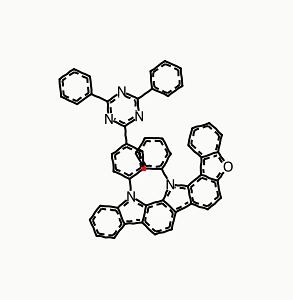 c1ccc(-c2nc(-c3ccccc3)nc(-c3ccc(-n4c5ccccc5c5ccc6c7ccc8oc9ccccc9c8c7n(-c7ccccc7)c6c54)cc3)n2)cc1